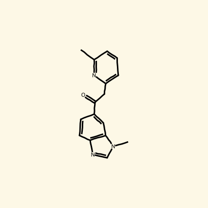 Cc1cccc(CC(=O)c2ccc3ncn(C)c3c2)n1